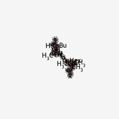 CCCCCCC(C)(C=Cc1ccc(C=Cc2ccc(N(c3ccc(C(C)(C=C(c4ccccc4)c4ccccc4)CCCC)cc3)c3c(C)cc(C)cc3C)cc2)cc1)c1ccc(N(c2ccc(C=C(c3ccccc3)c3ccccc3)cc2)c2c(C)cc(C)cc2C)cc1